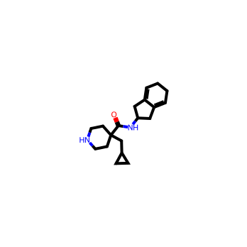 O=C(NC1CC2=CCCC=C2C1)C1(CC2CC2)CCNCC1